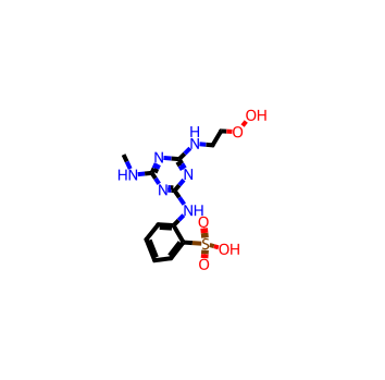 CNc1nc(NCCOO)nc(Nc2ccccc2S(=O)(=O)O)n1